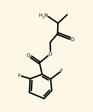 CC(N)C(=O)COC(=O)c1c(F)cccc1F